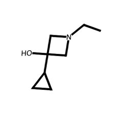 CCN1CC(O)(C2CC2)C1